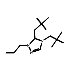 CCCN1N=CN(CC(C)(C)C)C1CC(C)(C)C